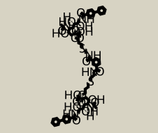 CC(=O)N[C@H]1[C@H]([C@H](O)[C@H](O)CNC(=O)c2ccc(-c3ccccc3)cc2)O[C@@](OCCCCSCCNC(=O)c2cccc(C(=O)NCCSCCCO[C@]3(C(=O)O)C[C@H](O)[C@@H](NC(C)=O)[C@H]([C@H](O)[C@H](O)CNC(=O)c4ccc(-c5ccccc5)cc4)O3)c2)(C(=O)O)C[C@@H]1O